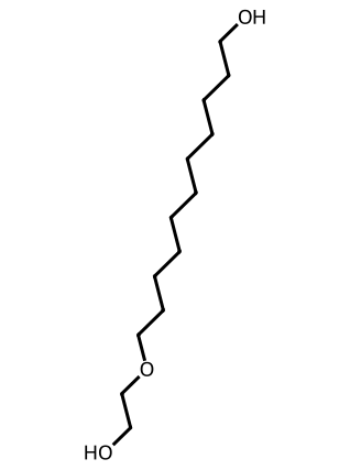 OCCCCCCCCCCCOCCO